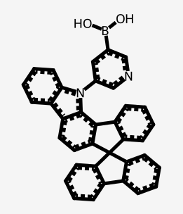 OB(O)c1cncc(-n2c3ccccc3c3ccc4c(c32)-c2ccccc2C42c3ccccc3-c3ccccc32)c1